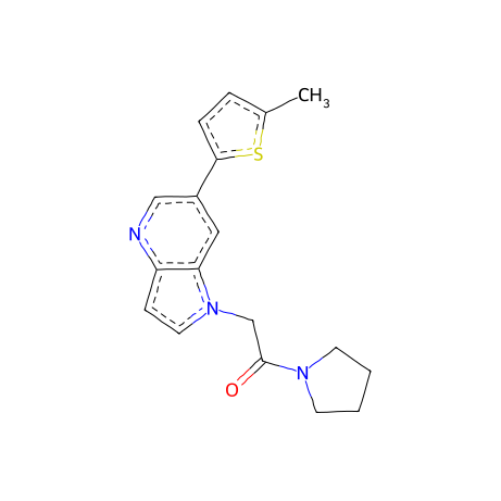 Cc1ccc(-c2cnc3ccn(CC(=O)N4CCCC4)c3c2)s1